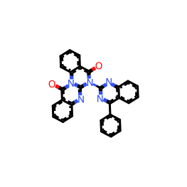 O=c1c2ccccc2n2c(=O)c3ccccc3nc2n1-c1nc(-c2ccccc2)c2ccccc2n1